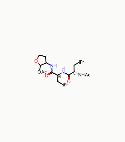 CC(=O)N[C@@H](CC(C)C)C(=O)N[C@@H](CC(C)C)C(=O)NC1CCOC1OC(C)=O